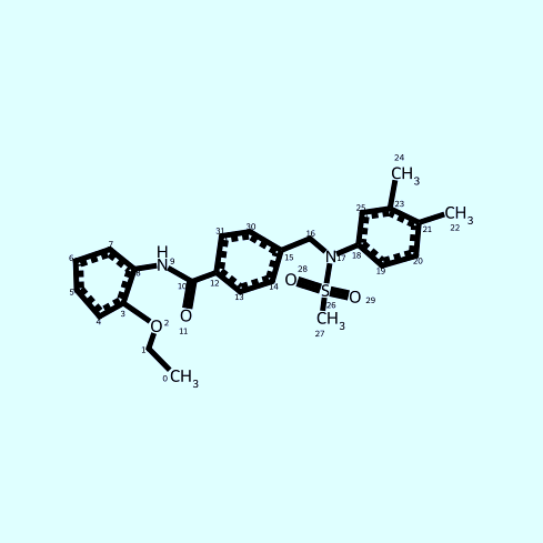 CCOc1ccccc1NC(=O)c1ccc(CN(c2ccc(C)c(C)c2)S(C)(=O)=O)cc1